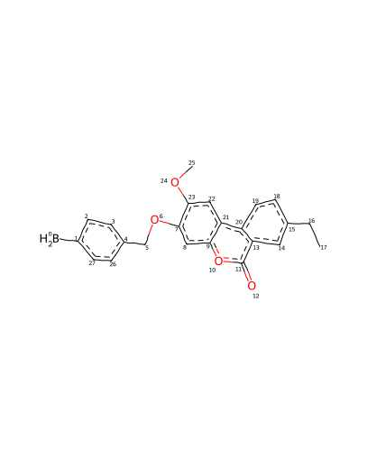 Bc1ccc(COc2cc3oc(=O)c4cc(CC)ccc4c3cc2OC)cc1